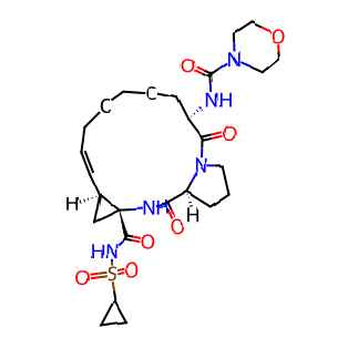 O=C1N[C@]2(C(=O)NS(=O)(=O)C3CC3)C[C@H]2/C=C\CCCCC[C@H](NC(=O)N2CCOCC2)C(=O)N2CCC[C@@H]12